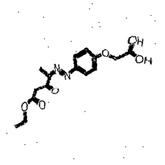 CCOC(=O)CC(=O)C(C)N=Nc1ccc(OCC(O)O)cc1